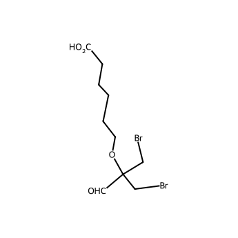 O=CC(CBr)(CBr)OCCCCCC(=O)O